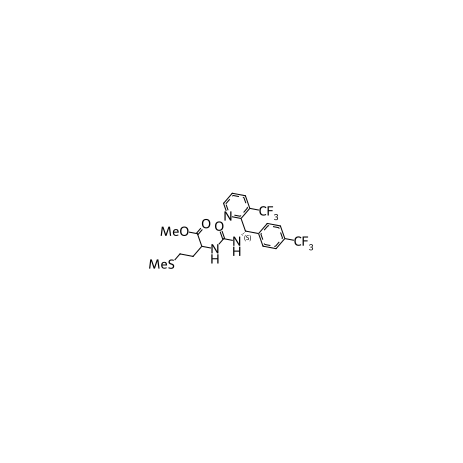 COC(=O)C(CCSC)NC(=O)N[C@@H](c1ccc(C(F)(F)F)cc1)c1ncccc1C(F)(F)F